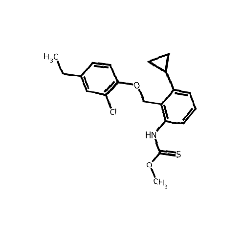 CCc1ccc(OCc2c(NC(=S)OC)cccc2C2CC2)c(Cl)c1